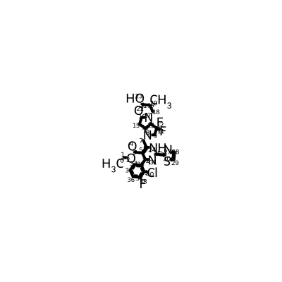 CCOC(=O)C1=C(CN2CC(F)(F)C3C2CCN3CC(C)C(=O)O)NC(c2nccs2)=NC1c1cccc(F)c1Cl